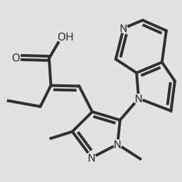 CC/C(=C\c1c(C)nn(C)c1-n1ccc2ccncc21)C(=O)O